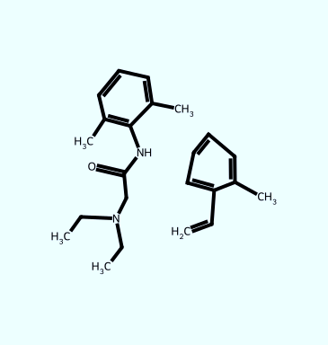 C=Cc1ccccc1C.CCN(CC)CC(=O)Nc1c(C)cccc1C